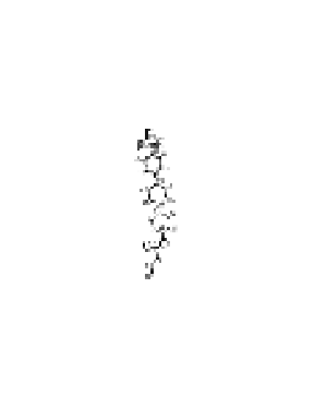 C=CCC(=O)O[C@H]1CC[C@H]([C@H]2CC[C@H](c3ccc(C(F)(F)F)cc3)CC2)CC1